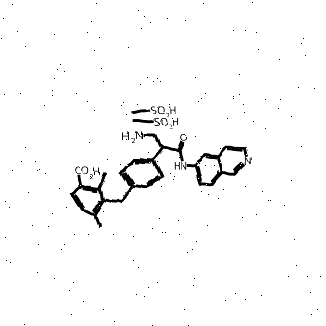 CS(=O)(=O)O.CS(=O)(=O)O.Cc1ccc(C(=O)O)c(C)c1Cc1ccc(C(CN)C(=O)Nc2ccc3cnccc3c2)cc1